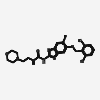 O=C(NCCN1CCOCC1)Nc1nc2cc(F)c(OCc3c(Cl)cccc3Cl)cc2s1